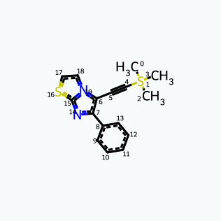 CS(C)(C)C#Cc1c(-c2ccccc2)nc2sccn12